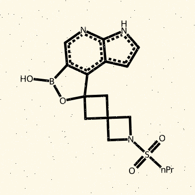 CCCS(=O)(=O)N1CC2(C1)CC1(C2)OB(O)c2cnc3[nH]ccc3c21